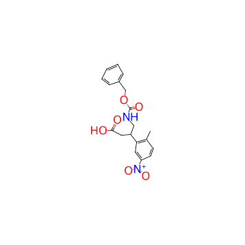 Cc1ccc([N+](=O)[O-])cc1C(CNC(=O)OCc1ccccc1)CC(=O)O